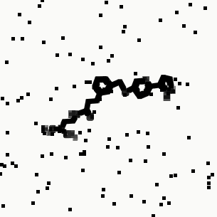 CN(C)CCNC(=O)CCc1cccc(COc2ccc(-c3ccn[nH]3)nc2)c1